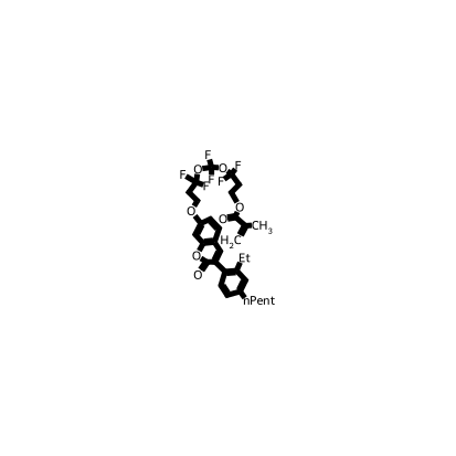 C=C(C)C(=O)OCCC(F)(F)OC(F)(F)OC(F)(F)CCOc1ccc2cc(-c3ccc(CCCCC)cc3CC)c(=O)oc2c1